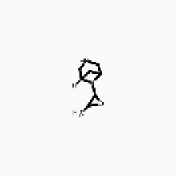 CC1OC1N1C2CNC[C@@H]1C2